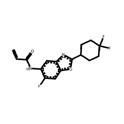 C=CC(=O)Nc1cc2nc(C3CCC(F)(F)CC3)oc2cc1F